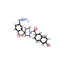 NCc1ccc2c(c1)C1(CCN(C(=O)c3ccc4cc(Br)ccc4c3)CC1)CO2